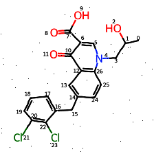 CC(O)Cn1cc(C(=O)O)c(=O)c2cc(Cc3cccc(Cl)c3Cl)ccc21